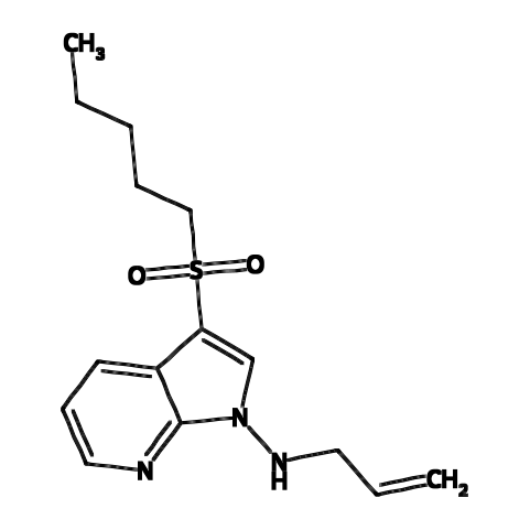 C=CCNn1cc(S(=O)(=O)CCCCC)c2cccnc21